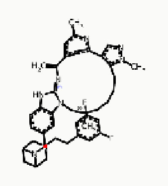 C=C1/N=C2\Nc3ccc(CN4C5CC4CN(CCc4cc(F)cc(F)c4)C5)cc3N2C[C@H](C)CCCCc2c(cnn2C)-c2cc1cc(C)n2